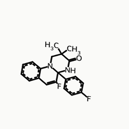 CC1(C)CN2c3ccccc3C=C(F)C2(c2ccc(F)cc2)NC1=O